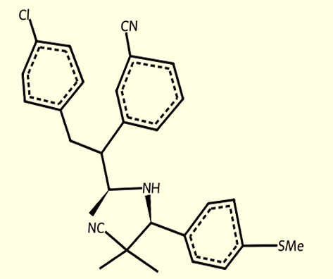 CSc1ccc([C@H](N[C@@H](C)C(Cc2ccc(Cl)cc2)c2cccc(C#N)c2)C(C)(C)C#N)cc1